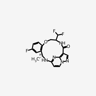 C[C@H]1Nc2ccn3ncc(c3n2)C(=O)NC(C(F)F)COc2ccc(F)cc21